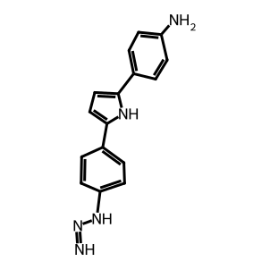 N=NNc1ccc(-c2ccc(-c3ccc(N)cc3)[nH]2)cc1